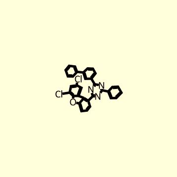 Clc1cc(Cl)c2oc3cccc(-c4nc(-c5ccccc5)nc(-c5cccc(-c6ccccc6)c5)n4)c3c2c1